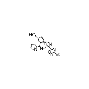 C#Cc1ccc2c(c1)C(c1ccccn1)=NCc1c(-c3nc(CC)no3)ncn1-2